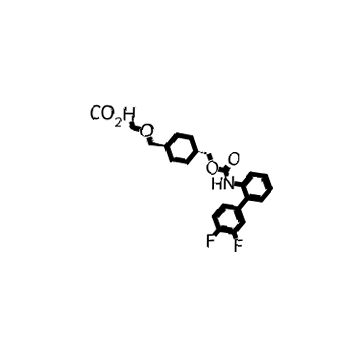 O=C(O)COC[C@H]1CC[C@H](COC(=O)Nc2ccccc2-c2ccc(F)c(F)c2)CC1